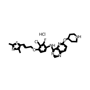 Cc1nc(C)c(C=CCOc2ccc(Nc3ncnc4ccc(OC5CCNCC5)nc34)c(F)c2Cl)s1.Cl